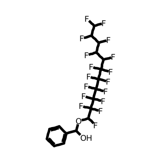 OC(OC(F)C(F)(F)C(F)(F)C(F)(F)C(F)(F)C(F)(F)C(F)C(F)C(F)C(F)C(F)F)c1ccccc1